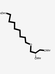 CCCCCCCCCCCCCCCCCCOC[C@H](COC)OC